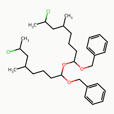 CC(Cl)CC(C)CCCC(OCc1ccccc1)OC(CCCC(C)CC(C)Cl)OCc1ccccc1